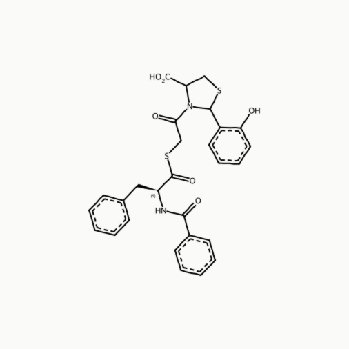 O=C(N[C@@H](Cc1ccccc1)C(=O)SCC(=O)N1C(C(=O)O)CSC1c1ccccc1O)c1ccccc1